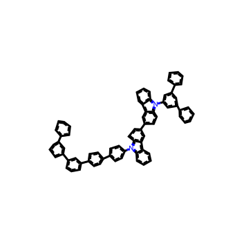 c1ccc(-c2cccc(-c3cccc(-c4ccc(-c5ccc(-n6c7ccccc7c7cc(-c8ccc9c(c8)c8ccccc8n9-c8cc(-c9ccccc9)cc(-c9ccccc9)c8)ccc76)cc5)cc4)c3)c2)cc1